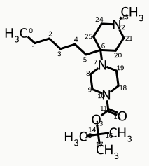 CCCCCCC1(N2CCN(C(=O)OC(C)(C)C)CC2)CCN(C)CC1